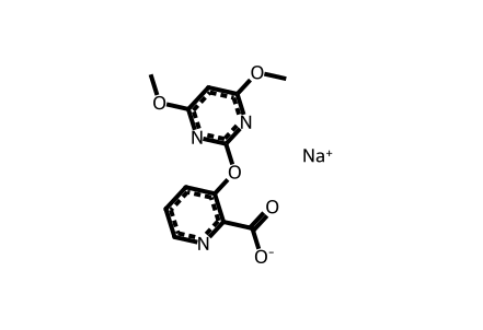 COc1cc(OC)nc(Oc2cccnc2C(=O)[O-])n1.[Na+]